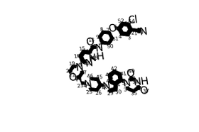 N#Cc1ccc(O[C@H]2CC[C@H](NC(=O)c3ccc(N4CCO[C@H](CN5CCC(n6ccc7c(N8CCC(=O)NC8=O)cccc76)CC5)C4)nn3)CC2)cc1Cl